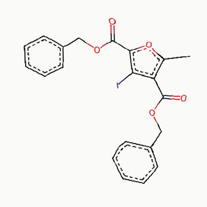 Cc1oc(C(=O)OCc2ccccc2)c(I)c1C(=O)OCc1ccccc1